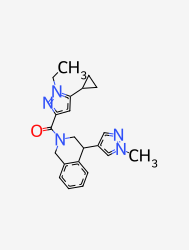 CCn1nc(C(=O)N2Cc3ccccc3C(c3cnn(C)c3)C2)cc1C1CC1